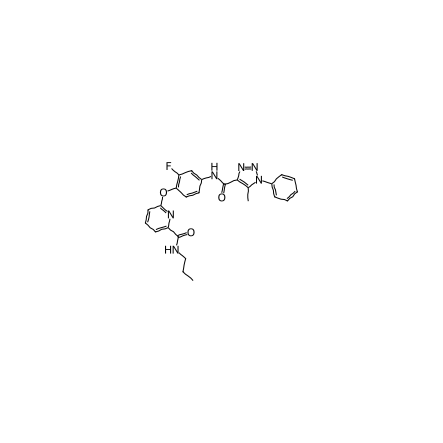 CCCNC(=O)c1cccc(Oc2ccc(NC(=O)c3nnn(-c4ccccc4)c3C)cc2F)n1